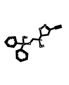 C#CC1=NOC([C@@H](O)CO[Si](c2ccccc2)(c2ccccc2)C(C)(C)C)C1